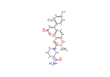 C[C@@H](Oc1ccc2c(-c3ccc(F)cc3Cl)cc(=O)oc2c1)C(=O)N1CCCC(C(N)=O)C1